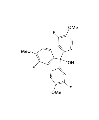 COc1ccc(C(O)(c2ccc(OC)c(F)c2)c2ccc(OC)c(F)c2)cc1F